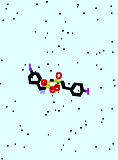 O=S(=O)(C=Cc1ccc(I)cc1)CS(=O)(=O)/C=C\c1ccc(I)cc1